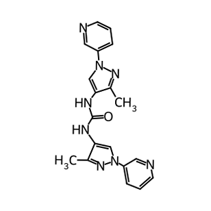 Cc1nn(-c2cccnc2)cc1NC(=O)Nc1cn(-c2cccnc2)nc1C